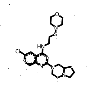 Clc1cc2c(NCCSN3CCOCC3)nc(N3CCN4CCCC4C3)nc2cn1